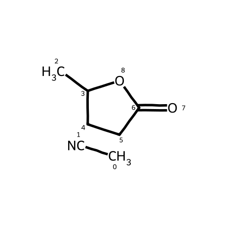 CC#N.CC1CCC(=O)O1